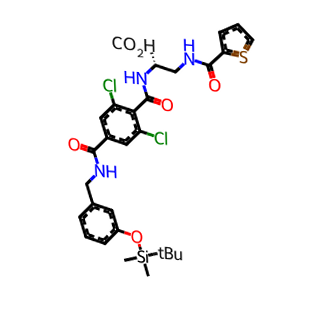 CC(C)(C)[Si](C)(C)Oc1cccc(CNC(=O)c2cc(Cl)c(C(=O)N[C@@H](CNC(=O)c3cccs3)C(=O)O)c(Cl)c2)c1